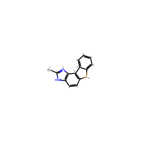 CCc1nc2c(ccc3sc4ccccc4c32)[nH]1